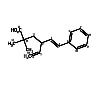 C=CC(/C=C/c1ccccc1)CC(C)(C)C(=O)O